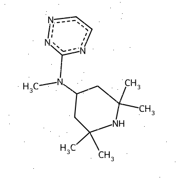 CN(c1nccnn1)C1CC(C)(C)NC(C)(C)C1